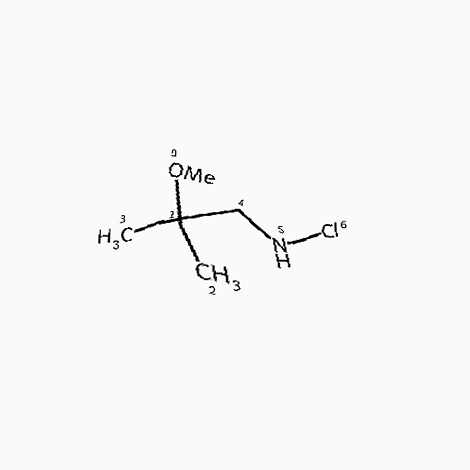 COC(C)(C)CNCl